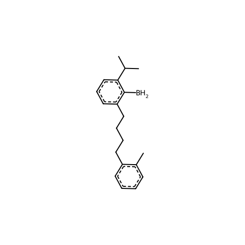 Bc1c(CCCCc2ccccc2C)cccc1C(C)C